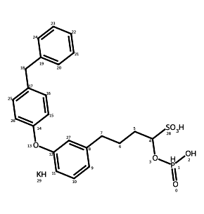 O=[PH](O)OC(CCCc1cccc(Oc2ccc(Cc3ccccc3)cc2)c1)S(=O)(=O)O.[KH]